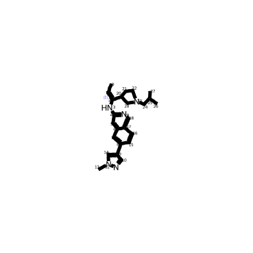 C/C=C(/Nc1cc2cc(-c3cnn(C)c3)ccc2cn1)C1CCN(CC(C)C)C1